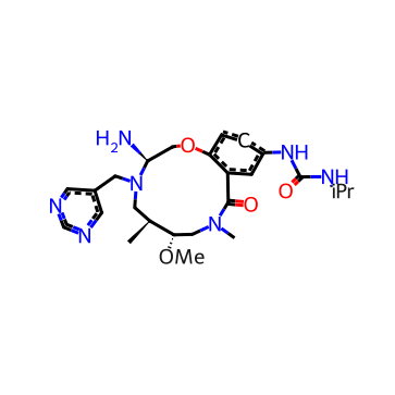 CO[C@H]1CN(C)C(=O)c2cc(NC(=O)NC(C)C)ccc2OC[C@H](N)N(Cc2cncnc2)C[C@@H]1C